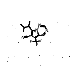 CC(C)C(C)c1c(C#N)c(C(F)(F)F)c2cncnn12